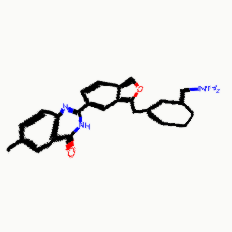 Cc1ccc2nc(-c3ccc4coc(CC5CCCC(CN)C5)c4c3)[nH]c(=O)c2c1